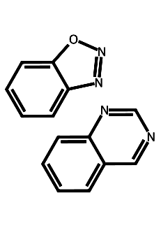 c1ccc2ncncc2c1.c1ccc2onnc2c1